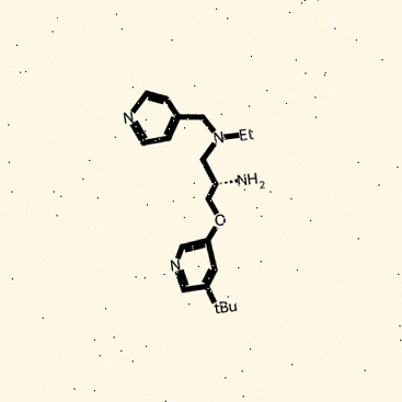 CCN(Cc1ccncc1)C[C@H](N)COc1cncc(C(C)(C)C)c1